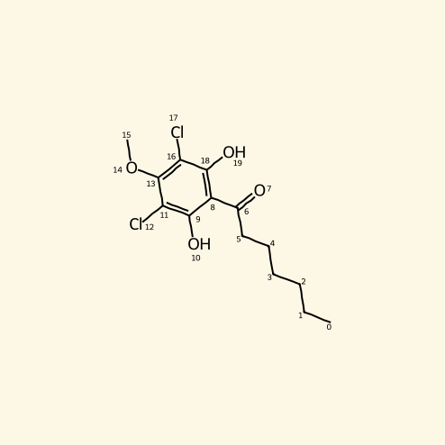 CCCCCCC(=O)c1c(O)c(Cl)c(OC)c(Cl)c1O